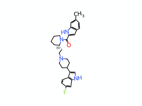 Cc1ccc2cc(C(=O)N3CCCC[C@H]3CCN3CCC(c4c[nH]c5cc(F)ccc45)CC3)[nH]c2c1